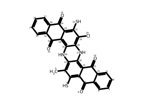 Cc1c(S)c2c(=O)c3ccccc3c(=O)c2c2[nH]c3c(Cl)c(S)c4c(=O)c5ccccc5c(=O)c4c3[nH]c12